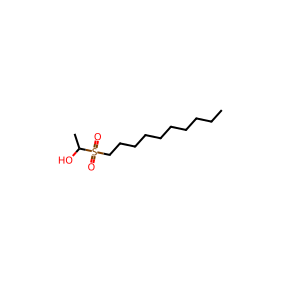 CCCCCCCCCCS(=O)(=O)C(C)O